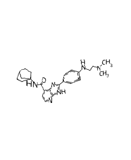 CN(C)CCNc1ccc(-c2nc3c(C(=O)NC45CCC(CC4)C5)ccnc3[nH]2)cc1